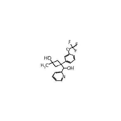 CC1(O)CC(c2cccc(OC(F)(F)F)c2)(C(O)c2ccccn2)C1